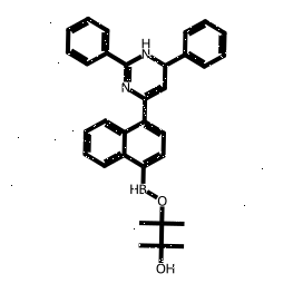 CC(C)(O)C(C)(C)OBc1ccc(C2=CC(c3ccccc3)NC(c3ccccc3)=N2)c2ccccc12